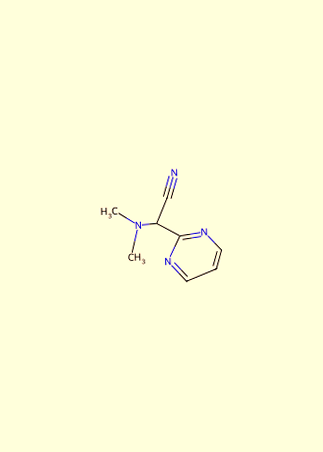 CN(C)C(C#N)c1ncccn1